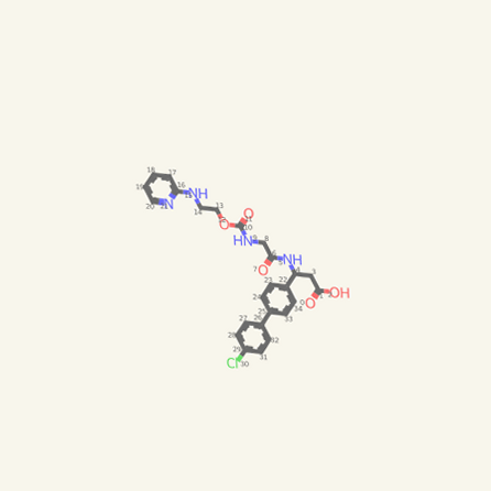 O=C(O)CC(NC(=O)CNC(=O)OCCNc1ccccn1)c1ccc(-c2ccc(Cl)cc2)cc1